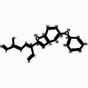 C=C/C(C)=C/C=C(\C=C)c1cc2cc(Oc3ccccc3)ccc2o1